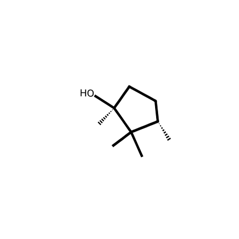 C[C@H]1CC[C@](C)(O)C1(C)C